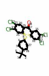 CC(C)(C)c1ccc(-[s+]2c3cc(Cl)c(Cl)cc3c(=O)c3cc(Cl)c(Cl)cc32)cc1